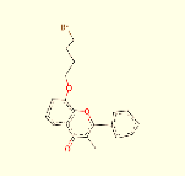 Cc1c(-c2ccccc2)oc2c(OCCCCBr)cccc2c1=O